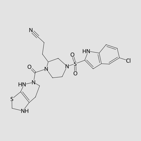 N#CCCC1CN(S(=O)(=O)c2cc3cc(Cl)ccc3[nH]2)CCN1C(=O)N1CCC2=C(N1)SCN2